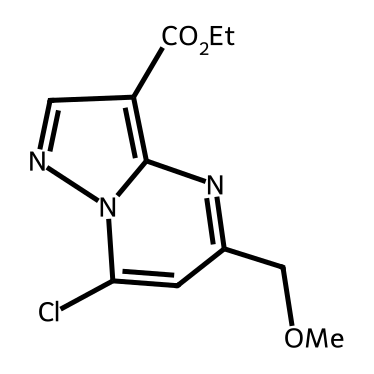 CCOC(=O)c1cnn2c(Cl)cc(COC)nc12